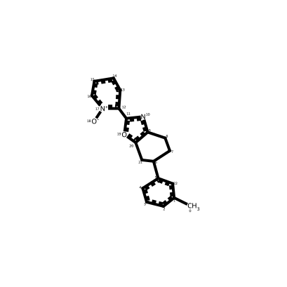 Cc1cccc(C2CCc3nc(-c4cccc[n+]4[O-])oc3C2)c1